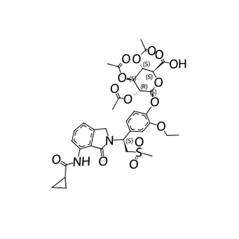 CCOc1cc([C@@H](CS(C)(=O)=O)N2Cc3cccc(NC(=O)C4CC4)c3C2=O)ccc1O[C@@H]1O[C@H](C(=O)O)[C@@H](OC(C)=O)[C@H](OC(C)=O)[C@H]1OC(C)=O